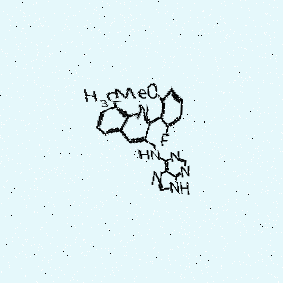 COc1cccc(F)c1-c1nc2c(C)cccc2cc1CNc1ncnc2[nH]cnc12